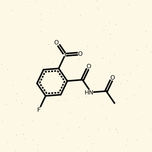 CC(=O)NC(=O)c1cc(F)ccc1I(=O)=O